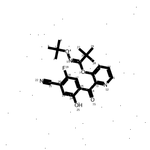 CC(C)(C)ON=C(Oc1cccnc1C(=O)c1cc(F)c(C#N)cc1O)C(C)(C)C